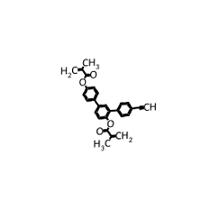 C#Cc1ccc(-c2cc(-c3ccc(OC(=O)C(=C)C)cc3)ccc2OC(=O)C(=C)C)cc1